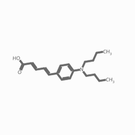 CCCCN(CCCC)c1ccc(/C=C/C=C/C(=O)O)cc1